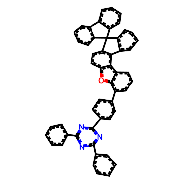 c1ccc(-c2nc(-c3ccccc3)nc(-c3ccc(-c4cccc5c4oc4ccc6c(c45)-c4ccccc4C64c5ccccc5-c5ccccc54)cc3)n2)cc1